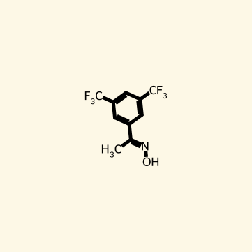 CC(=NO)c1cc(C(F)(F)F)cc(C(F)(F)F)c1